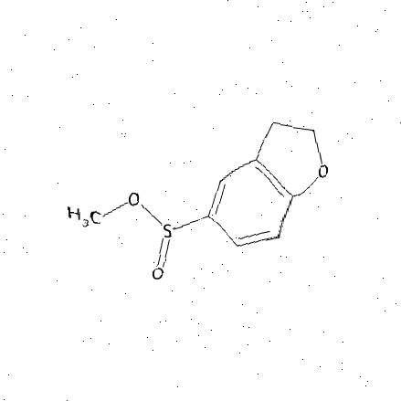 COS(=O)c1ccc2c(c1)CCO2